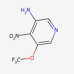 Nc1cncc(OC(F)(F)F)c1[N+](=O)[O-]